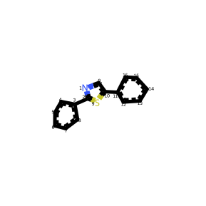 [c]1nc(-c2ccccc2)sc1-c1ccccc1